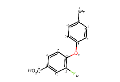 CCCc1ccc(Oc2ccc(C(=O)O)cc2F)cc1